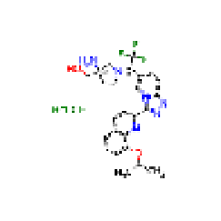 CC(C)Oc1cccc2ccc(-c3nnc4ccc([C@@H](N5CC[C@](N)(CO)C5)C(F)(F)F)cn34)nc12.Cl.Cl